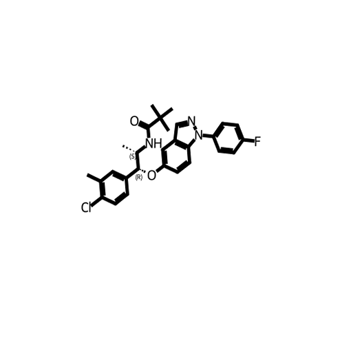 Cc1cc([C@@H](Oc2ccc3c(cnn3-c3ccc(F)cc3)c2)[C@H](C)NC(=O)C(C)(C)C)ccc1Cl